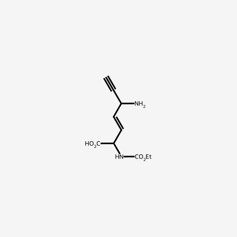 C#CC(N)C=CC(NC(=O)OCC)C(=O)O